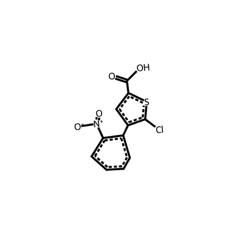 O=C(O)c1cc(-c2ccccc2[N+](=O)[O-])c(Cl)s1